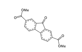 COC(=O)c1ccc2c(c1)C(=O)c1cc(C(=O)OC)ccc1-2